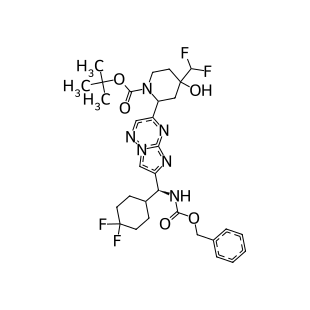 CC(C)(C)OC(=O)N1CCC(O)(C(F)F)CC1c1cnn2cc([C@@H](NC(=O)OCc3ccccc3)C3CCC(F)(F)CC3)nc2n1